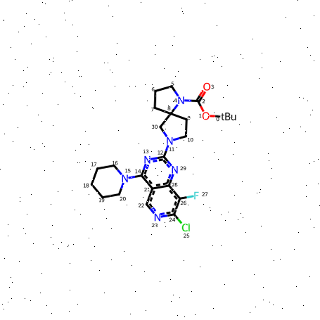 CC(C)(C)OC(=O)N1CCCC12CCN(c1nc(N3CCCCC3)c3cnc(Cl)c(F)c3n1)C2